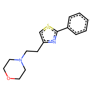 [c]1ccc(-c2nc(CCN3CCOCC3)cs2)cc1